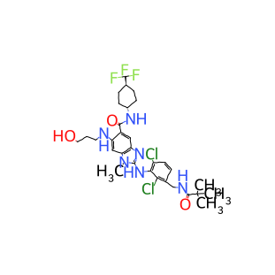 Cn1c(Nc2c(Cl)ccc(CNC(=O)C(C)(C)C)c2Cl)nc2cc(C(=O)N[C@H]3CC[C@H](C(F)(F)F)CC3)c(NCCCO)cc21